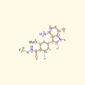 COc1cc(-c2c(I)n(C)c3c(Br)cnc(N)c23)cc(F)c1C(=O)NCC(F)(F)F